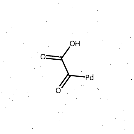 O=C(O)[C](=O)[Pd]